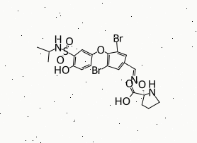 CC(C)NS(=O)(=O)c1cc(Oc2c(Br)cc(C=NO[C@@]3(C(=O)O)CCCN3)cc2Br)ccc1O